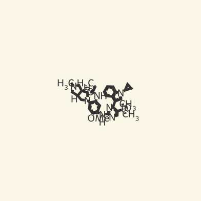 C=CC(=O)Nc1cc(Nc2ncc(P(C)(C)=O)c(-c3cn(C4CC4)c4ccccc34)n2)c(OC)cc1N1C[C@H]2CN(C)C[C@H]2C1